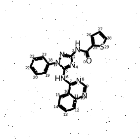 O=C(Nc1nc(Nc2ncnc3ccccc23)n(-c2ccccc2)n1)c1cccs1